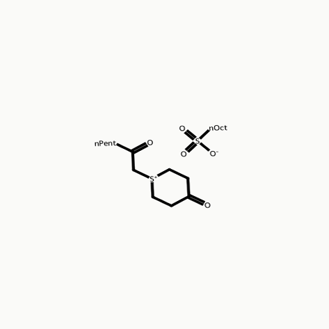 CCCCCC(=O)C[S+]1CCC(=O)CC1.CCCCCCCCS(=O)(=O)[O-]